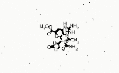 COC(=O)C1=C[C@H](NC(=N)N)[C@@H](NC(C)=O)[C@H]([C@H](OC(N)=O)[C@H]2COC(=O)O2)O1